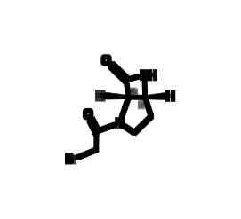 O=C1N[C@@H]2CCN(C(=O)CBr)[C@H]12